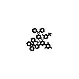 Cc1cc(C)c(-c2cc3c4c(c2)N(c2ccc(C(C)(C)C)cc2C)c2cc(N(c5ccccc5)c5ccccc5)ccc2B4N2c4ccccc4C(c4ccccc4)(c4ccccc4)c4cccc-3c42)c(C)c1